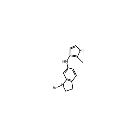 CC(=O)N1CCc2ccc(Nc3cc[nH]c3C)cc21